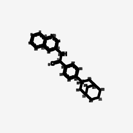 O=C(Nc1cnc2ccccc2c1)c1ccc(N2CC3CCCC(C3)C2)cc1